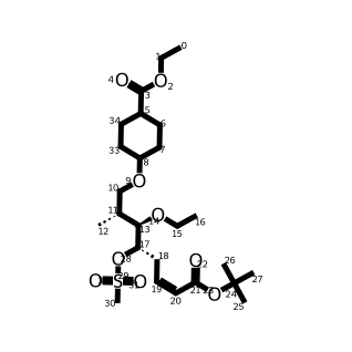 CCOC(=O)C1CCC(OC[C@@H](C)[C@@H](OCC)[C@H](C/C=C\C(=O)OC(C)(C)C)OS(C)(=O)=O)CC1